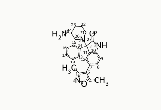 Cc1noc(C)c1-c1ccc2c(c1)C(c1ccccc1)(N1CCC[C@@H](N)C1)C(=O)N2